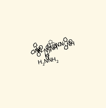 NC(N)=NCCC[C@H](NC(=O)CC1(CC(=O)N2CCN(C3c4ccccc4NC(=O)c4ccccc43)CC2)CCCC1)C(=O)NCCn1c(=O)n(-c2ccccc2)n(-c2ccccc2)c1=O